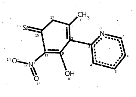 CC1=C(c2ccccn2)C(O)=C([N+](=O)[O-])C(=S)C1